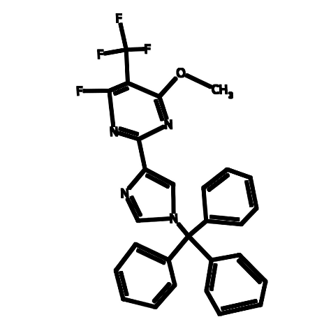 COc1nc(-c2cn(C(c3ccccc3)(c3ccccc3)c3ccccc3)cn2)nc(F)c1C(F)(F)F